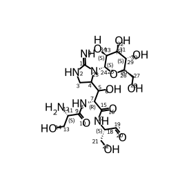 N=C1NCC(C(O)[C@@H](NC(=O)[C@@H](N)CO)C(=O)N[C@H]([C]=O)CO)N1[C@H]1O[C@H](CO)[C@@H](O)[C@H](O)[C@@H]1O